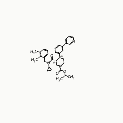 Cc1cccc(CN(C(=O)[C@H]2CN(C(=O)OC(C)C)CC[C@@H]2c2cccc(-c3cccnc3)c2)C2CC2)c1C